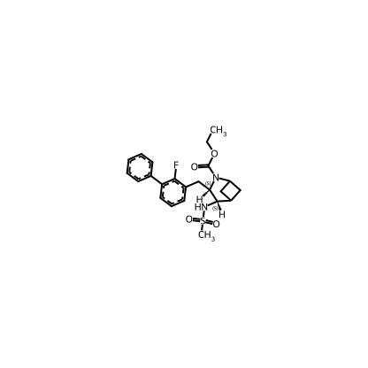 CCOC(=O)N1C2CC(C2)[C@H](NS(C)(=O)=O)[C@@H]1Cc1cccc(-c2ccccc2)c1F